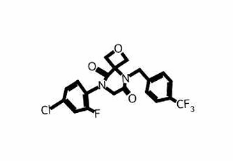 O=C1CN(c2ccc(Cl)cc2F)C(=O)C2(COC2)N1Cc1ccc(C(F)(F)F)cc1